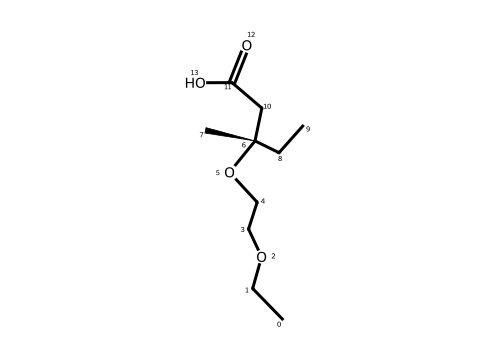 CCOCCO[C@@](C)(CC)CC(=O)O